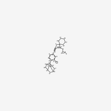 CCNC1(CC#Cc2ccc(C3C4CC5CC(C4)CC3C5)c(Cl)c2)CCCCC1